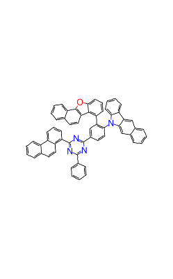 c1ccc(-c2nc(-c3ccc(-n4c5ccccc5c5cc6ccccc6cc54)c(-c4cccc5oc6c7ccccc7ccc6c45)c3)nc(-c3cccc4c3ccc3ccccc34)n2)cc1